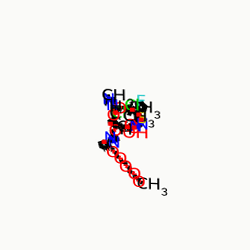 COCCOCCOCCOCCOC[C@@H]1CCCC[C@H]1c1nccc(COc2ccc3cc2C[C@H](C(=O)O)Oc2ncnc4sc(-c5ccc(F)cc5)c(c24)-c2c(C)c(Cl)c(c(Cl)c2C)O[C@H](CN2CCN(C)CC2)CO3)n1